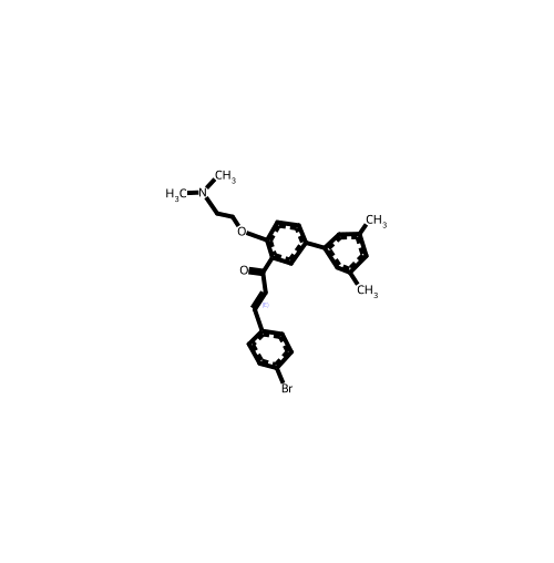 Cc1cc(C)cc(-c2ccc(OCCN(C)C)c(C(=O)/C=C/c3ccc(Br)cc3)c2)c1